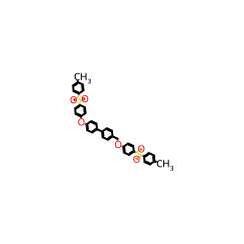 Cc1ccc(S(=O)(=O)c2ccc(OCc3ccc(-c4ccc(Oc5ccc(S(=O)(=O)c6ccc(C)cc6)cc5)cc4)cc3)cc2)cc1